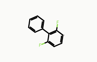 Fc1[c]ccc(F)c1-c1ccccc1